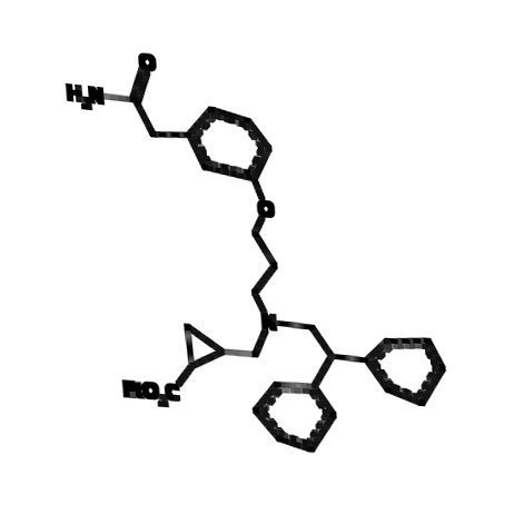 CCOC(=O)C1CC1CN(CCCOc1cccc(CC(N)=O)c1)CC(c1ccccc1)c1ccccc1